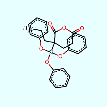 CCCC1([Si](Oc2ccccc2)(Oc2ccccc2)Oc2ccccc2)CCC(=O)OC1=O